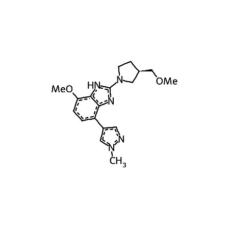 COC[C@@H]1CCN(c2nc3c(-c4cnn(C)c4)ccc(OC)c3[nH]2)C1